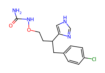 NC(=O)NOCCC(Cc1ccc(Cl)cc1)c1c[nH]cn1